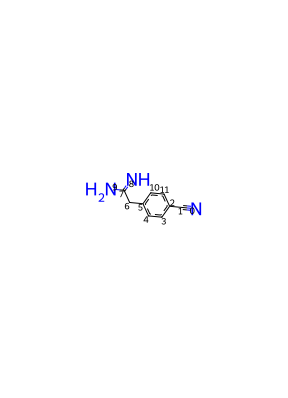 N#Cc1ccc(CC(=N)N)cc1